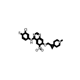 CN1CCC2(CC1)CC2COC1C=c2ncnc(NC3=CC(Cl)C(F)C=C3)c2=CC1[N+](=O)[O-]